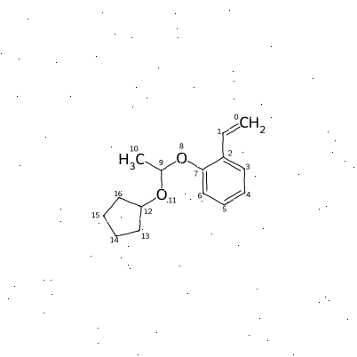 C=Cc1ccccc1OC(C)OC1CCCC1